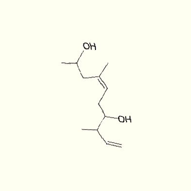 C=CC(C)C(O)CC=C(C)CC(C)O